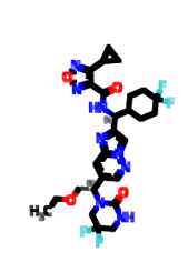 CCOC[C@H](c1cnn2cc([C@@H](NC(=O)c3nonc3C3CC3)C3CCC(F)(F)CC3)nc2c1)N1CC(F)(F)CNC1=O